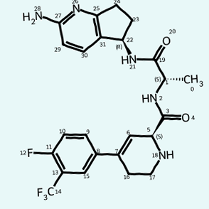 C[C@H](NC(=O)[C@@H]1C=C(c2ccc(F)c(C(F)(F)F)c2)CCN1)C(=O)N[C@@H]1CCc2nc(N)ccc21